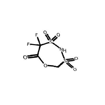 O=C1OCS(=O)(=O)NS(=O)(=O)C1(F)F